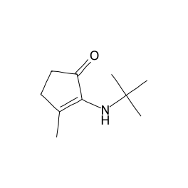 CC1=C(NC(C)(C)C)C(=O)CC1